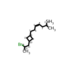 CC([SiH3])C/C=C\CCC1CC(CC(C)Br)C1